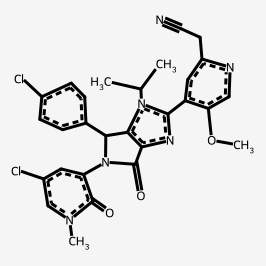 COc1cnc(CC#N)cc1-c1nc2c(n1C(C)C)C(c1ccc(Cl)cc1)N(c1cc(Cl)cn(C)c1=O)C2=O